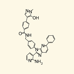 Cn1ncc(-c2ccc(C(=O)NCc3ccc(-n4c(-c5cccnc5N)nc5ccc(-c6ccccc6)nc54)cc3)cc2)c1O